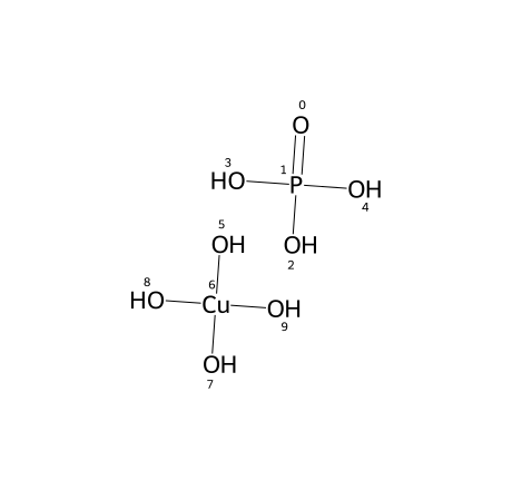 O=P(O)(O)O.[OH][Cu]([OH])([OH])[OH]